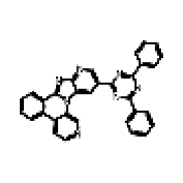 c1ccc(-c2nc(-c3ccccc3)nc(-c3cnc4nc5c6ccccc6c6ccncc6n5c4c3)n2)cc1